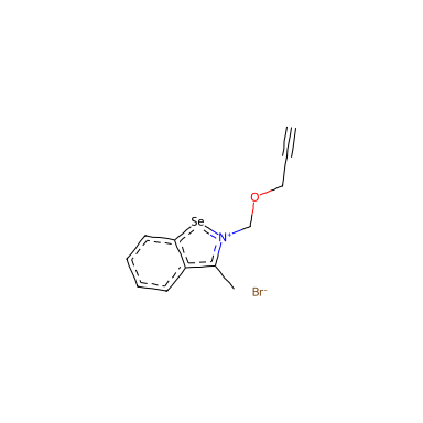 C#CCOC[n+]1[se]c2ccccc2c1C.[Br-]